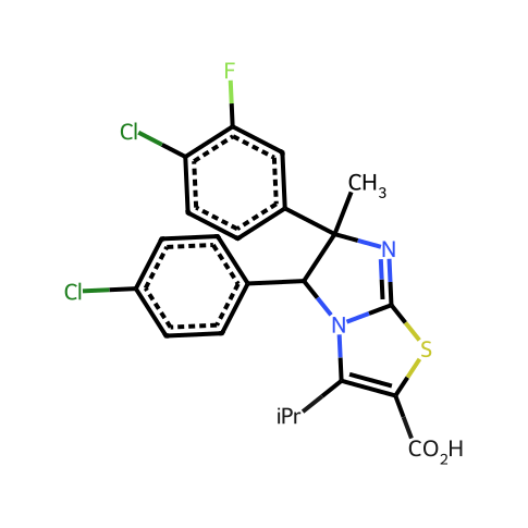 CC(C)C1=C(C(=O)O)SC2=NC(C)(c3ccc(Cl)c(F)c3)C(c3ccc(Cl)cc3)N21